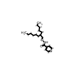 CCCCCCC(/C=N/NC(=O)c1ccncc1)CCCCC